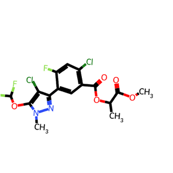 COC(=O)C(C)OC(=O)c1cc(-c2nn(C)c(OC(F)F)c2Cl)c(F)cc1Cl